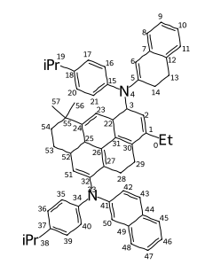 CCC1=CC(N(C2=Cc3ccccc3CC2)c2ccc(C(C)C)cc2)C2C=C3C4C5=C(CCC1=C52)C(N(c1ccc(C(C)C)cc1)c1ccc2ccccc2c1)=CC4CCC3(C)C